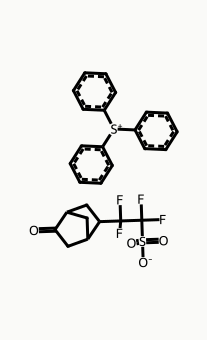 O=C1CC2CC1CC2C(F)(F)C(F)(F)S(=O)(=O)[O-].c1ccc([S+](c2ccccc2)c2ccccc2)cc1